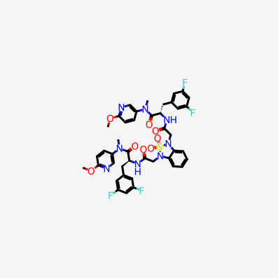 COc1ccc(N(C)C(=O)[C@H](Cc2cc(F)cc(F)c2)NC(=O)CN2c3ccccc3N(CC(=O)N[C@@H](Cc3cc(F)cc(F)c3)C(=O)N(C)c3ccc(OC)nc3)S2(=O)=O)cn1